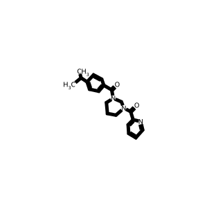 CC(C)c1ccc(C(=O)N2CCCN(C(=O)c3ccccn3)C2)cc1